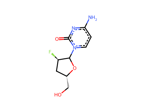 Nc1ccn(C2O[C@H](CO)C[C@H]2F)c(=O)n1